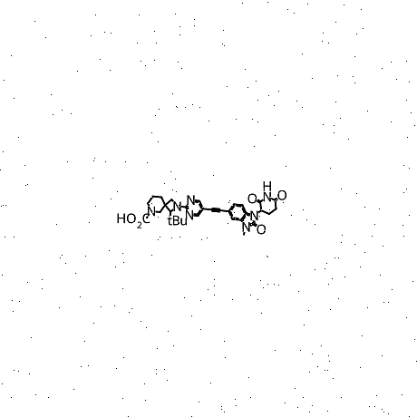 Cn1c(=O)n(C2CCC(=O)NC2=O)c2ccc(C#Cc3cnc(N4CC5(CCCN(C(=O)O)C5)C4C(C)(C)C)nc3)cc21